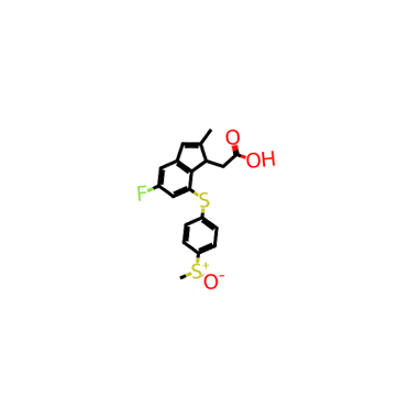 CC1=Cc2cc(F)cc(Sc3ccc([S+](C)[O-])cc3)c2C1CC(=O)O